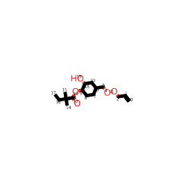 C=CCOOCC1CCC(OC(=O)C(C)(C)CC)C(O)C1